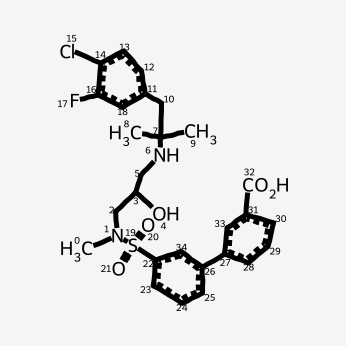 CN(CC(O)CNC(C)(C)Cc1ccc(Cl)c(F)c1)S(=O)(=O)c1cccc(-c2cccc(C(=O)O)c2)c1